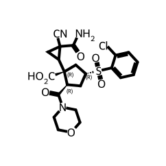 N#CC1(C(N)=O)CC1[C@]1(C(=O)O)C[C@H](S(=O)(=O)c2ccccc2Cl)C[C@H]1C(=O)N1CCOCC1